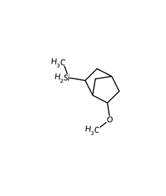 COC1CC2CC([SiH2]C)C1C2